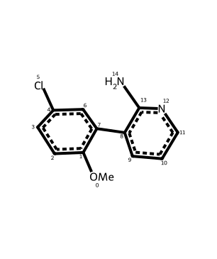 COc1ccc(Cl)cc1-c1cccnc1N